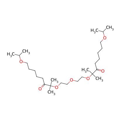 CC(C)OCCCCCC(=O)C(C)(C)OCCOCCOC(C)(C)C(=O)CCCCCOC(C)C